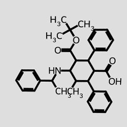 CC(NC1C(C)C(c2ccccc2)C(C(=O)O)C(c2ccccc2)C1C(=O)OC(C)(C)C)c1ccccc1